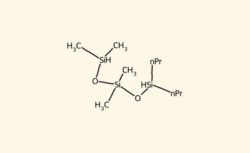 CCC[SiH](CCC)O[Si](C)(C)O[SiH](C)C